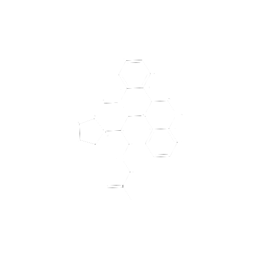 C=C(C)COCC(CN1c2ccccc2OCC1c1ccccc1OC)N1CCCC1